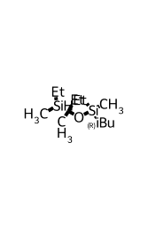 CC[C@@H](C)[Si](C)(CC)OC(C)(CC)[SiH](C)CC